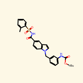 CCCCOC(=O)Nc1cccc(Cn2ccc3cc(C(=O)NS(=O)(=O)c4ccccc4C)ccc32)c1